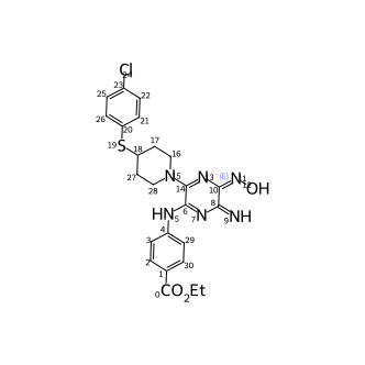 CCOC(=O)c1ccc(NC2=NC(=N)/C(=N\O)N=C2N2CCC(Sc3ccc(Cl)cc3)CC2)cc1